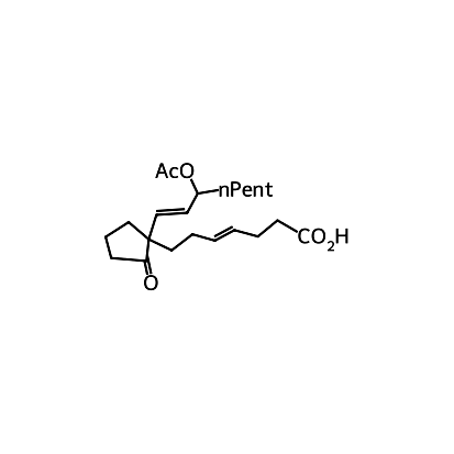 CCCCCC(C=CC1(CCC=CCCC(=O)O)CCCC1=O)OC(C)=O